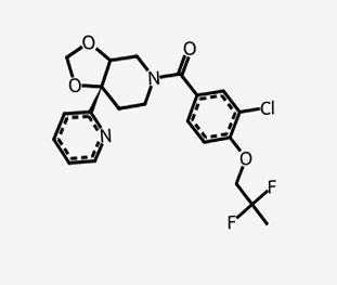 CC(F)(F)COc1ccc(C(=O)N2CC[C@]3(c4ccccn4)OCOC3C2)cc1Cl